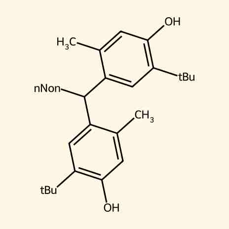 CCCCCCCCCC(c1cc(C(C)(C)C)c(O)cc1C)c1cc(C(C)(C)C)c(O)cc1C